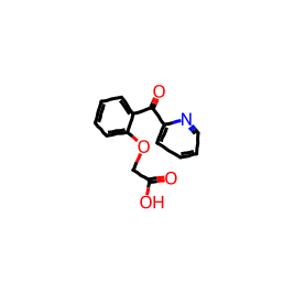 O=C(O)COc1ccccc1C(=O)c1ccccn1